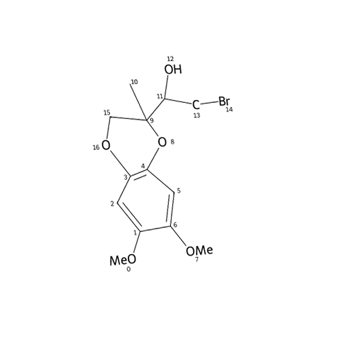 COc1cc2c(cc1OC)OC(C)(C(O)CBr)CO2